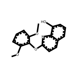 COc1cccc(OC)c1Oc1ccc2cccc(O)c2n1